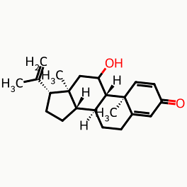 C=C(C)[C@H]1CC[C@H]2[C@@H]3CCC4=CC(=O)C=C[C@]4(C)[C@H]3C(O)C[C@]12C